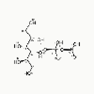 O=[N+]([O-])O.O=[N+]([O-])O.OC[C@@H](O)[C@@H](O)[C@H](O)[C@@H](O)CO